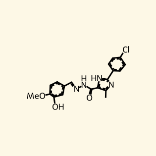 COc1ccc(/C=N/NC(=O)c2[nH]c(-c3ccc(Cl)cc3)nc2C)cc1O